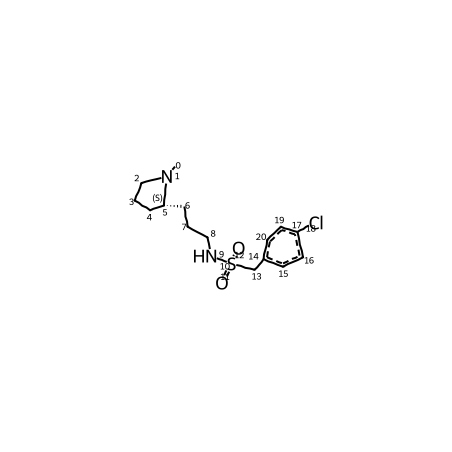 CN1CCC[C@H]1CCCNS(=O)(=O)Cc1ccc(Cl)cc1